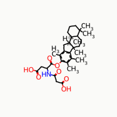 Cc1c(C)c2c(c(C)c1OC(=O)C(CC(=O)O)NC(=O)CC(=O)O)C[C@H]1C2(C)CCC2C(C)(C)CCC[C@@]21C